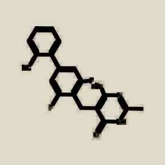 CCCCc1nc(C)[nH]c(=O)c1Cc1c(F)cc(-c2ccccc2C#N)cc1F